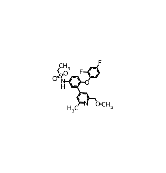 CCS(=O)(=O)Nc1ccc(Oc2ccc(F)cc2F)c(-c2cc(C)nc(COC)c2)c1